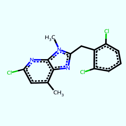 Cc1cc(Cl)nc2c1nc(Cc1c(Cl)[c]ccc1Cl)n2C